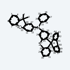 CC1(C)c2ccccc2Oc2ccc(N(c3ccccc3)c3ccc4c(c3)Sc3ccccc3C43c4ccccc4-c4ccccc43)cc21